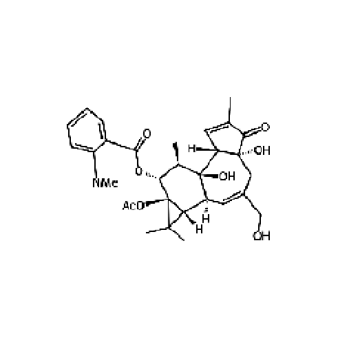 CNc1ccccc1C(=O)O[C@@H]1[C@@H](C)[C@@]2(O)[C@@H](C=C(CO)C[C@]3(O)C(=O)C(C)=C[C@@H]23)[C@@H]2C(C)(C)[C@]12OC(C)=O